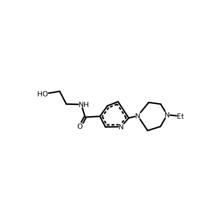 CCN1CCN(c2ccc(C(=O)NCCO)cn2)CC1